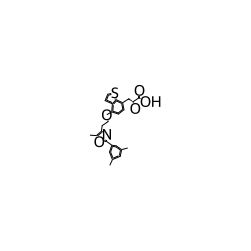 CO[C@@H](Cc1ccc(OCCc2nc(-c3cc(C)cc(C)c3)oc2C)c2ccsc12)C(=O)O